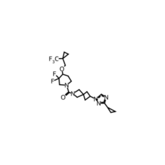 O=C(N1CC2(CC(n3cnc(C4CC4)n3)C2)C1)N1CCC(OCC2(C(F)(F)F)CC2)C(F)(F)C1